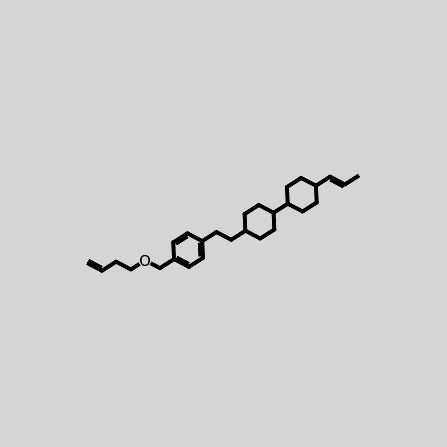 C=CCCOCc1ccc(CCC2CCC(C3CCC(C=CC)CC3)CC2)cc1